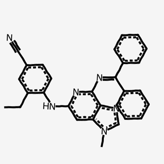 CCc1cc(C#N)ccc1Nc1cc2c(ncn2C)c(N=C(c2ccccc2)c2ccccc2)n1